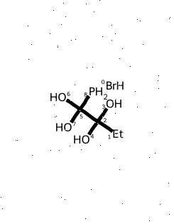 Br.CCC(O)(O)C(O)(O)P